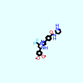 COc1ccc(C2CC(C(F)F)n3nc(-c4ccc(C(=O)N[C@H]5CCCNC5)cc4)cc3N2)cc1OC